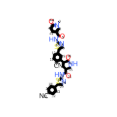 Cn1cc(C(=O)Nc2ncc(-c3ccc(C#N)c(C4CC(C(=O)Nc5ncc(-c6ccc(C#N)cc6)s5)CNC4=O)c3)s2)ccc1=O